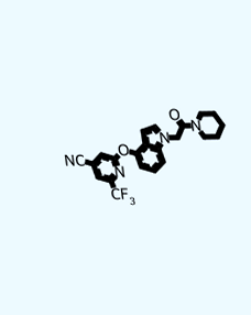 N#Cc1cc(Oc2cccc3c2ccn3CC(=O)N2CCCCC2)nc(C(F)(F)F)c1